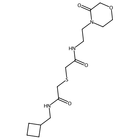 O=C(CSCC(=O)NCC1CCC1)NCCN1CCOCC1=O